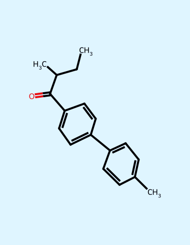 CCC(C)C(=O)c1ccc(-c2ccc(C)cc2)cc1